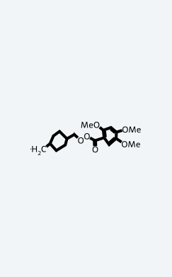 [CH2]C1CCC([CH]OOC(=O)c2cc(OC)c(OC)cc2OC)CC1